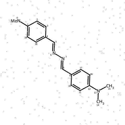 CNc1ccc(/C=N/N=C/c2ccc(N(C)C)cc2)cc1